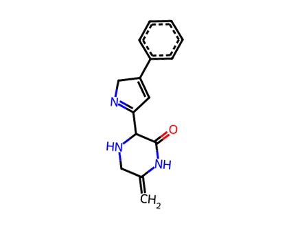 C=C1CNC(C2=NCC(c3ccccc3)=C2)C(=O)N1